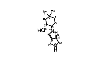 Cl.FC1(F)CCC(n2cc3c(n2)CNC3)CC1